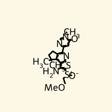 COCC[S+]([O-])c1sc2nc(-c3cc(=O)n(C)cn3)c3c(c2c1N)C(C)(C)CC3